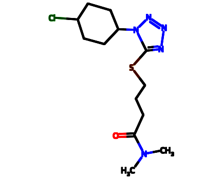 CN(C)C(=O)CCCSc1nnnn1C1CCC(Cl)CC1